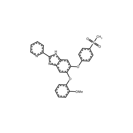 COc1ccccc1Oc1cc2nc(-c3ccccn3)[nH]c2cc1Oc1ccc(S(C)(=O)=O)cc1